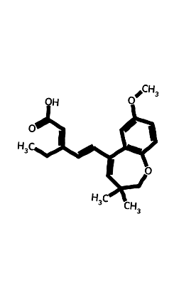 CCC(C=CC1=CC(C)(C)COc2ccc(OC)cc21)=CC(=O)O